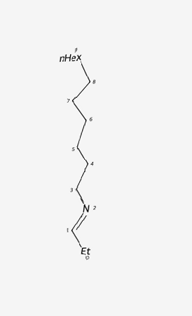 [CH2]CC=NCCCCCCCCCCCC